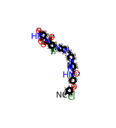 N#Cc1ccc(O[C@H]2CC[C@H](NC(=O)c3ccc(N4CCC(CN5CC6CN(c7cc8c(cc7F)C(=O)N(C7CCC(=O)NC7=O)C8=O)CC6C5)CC4)nn3)CC2)cc1Cl